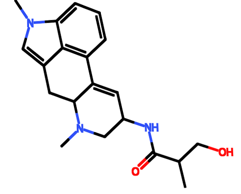 CC(CO)C(=O)NC1C=C2c3cccc4c3c(cn4C)CC2N(C)C1